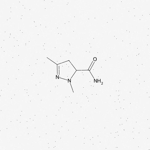 CC1=NN(C)C(C(N)=O)C1